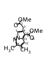 COC(=O)Cc1cn2nc(C)c(C)cc2c1C(=O)OC